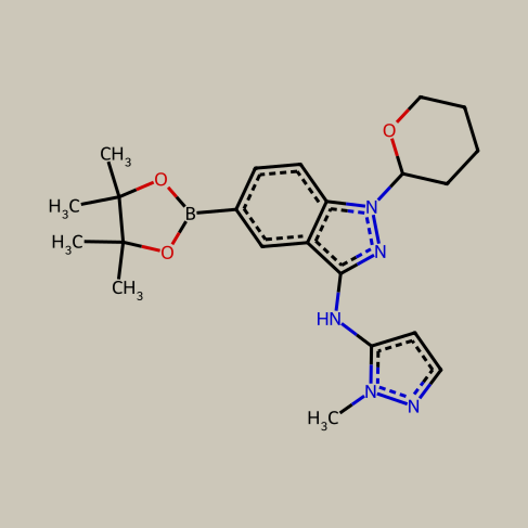 Cn1nccc1Nc1nn(C2CCCCO2)c2ccc(B3OC(C)(C)C(C)(C)O3)cc12